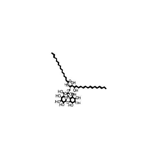 CCCCCCCCCCCCCCCC(=O)N[C@@H](COP(=O)(O)O[C@H]1C(O)C(O)C(O)[C@@H](O)C1O[C@H]1O[C@H](CO)[C@@H](O)C(O)C1O)[C@H](O)[C@H](O)CCCCCCCCCCCCCC